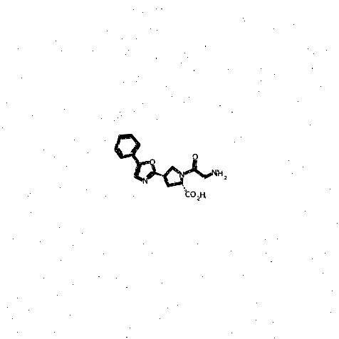 NCC(=O)N1C[C@H](c2ncc(-c3ccccc3)o2)C[C@H]1C(=O)O